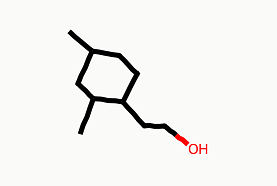 CC1CCC(CCO)C(C)C1